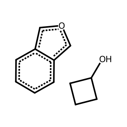 OC1CCC1.c1ccc2cocc2c1